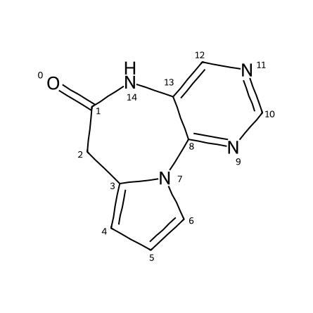 O=C1Cc2cccn2-c2ncncc2N1